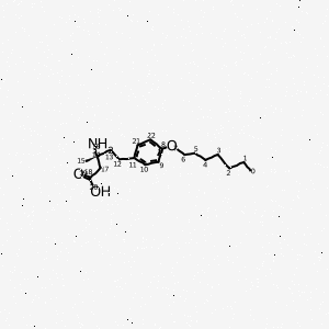 CCCCCCCOc1ccc(CC[C@@](C)(N)CC(=O)O)cc1